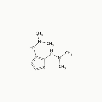 CN(C)Pc1ccsc1PN(C)C